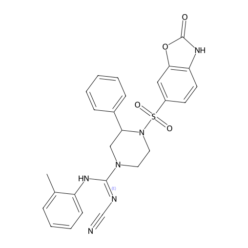 Cc1ccccc1N/C(=N\C#N)N1CCN(S(=O)(=O)c2ccc3[nH]c(=O)oc3c2)C(c2ccccc2)C1